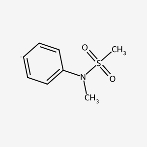 CN(c1cc[c]cc1)S(C)(=O)=O